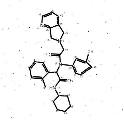 Cc1ccccc1C(C(=O)NC1CCCCC1)N(C(=O)CN1Cc2cccnc2C1)c1cccc(F)c1